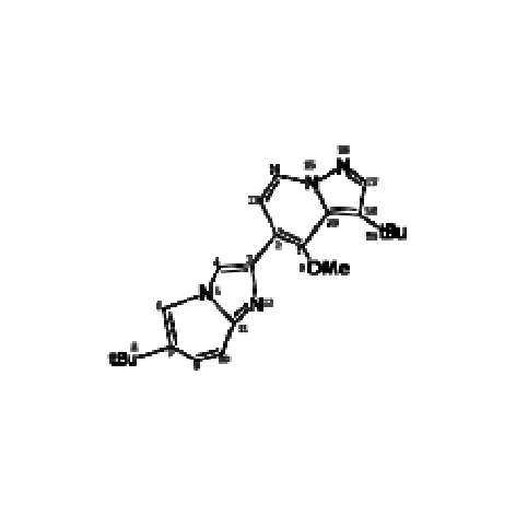 COc1c(-c2cn3cc(C(C)(C)C)ccc3n2)ccn2ncc(C(C)(C)C)c12